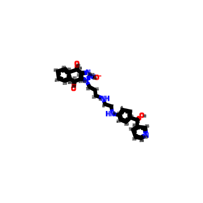 O=C(c1ccc(NCCNCCCn2c3c(n[n+]2[O-])C(=O)c2ccccc2C3=O)cc1)c1cccnc1